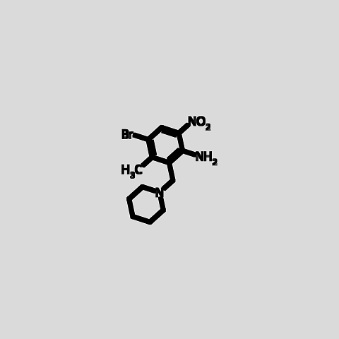 Cc1c(Br)cc([N+](=O)[O-])c(N)c1CN1CCCCC1